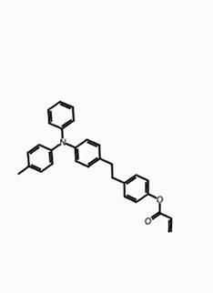 C=CC(=O)Oc1ccc(CCc2ccc(N(c3ccccc3)c3ccc(C)cc3)cc2)cc1